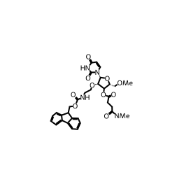 CNC(=O)CCC(=O)OC1[C@@H](COC)O[C@@H](n2ccc(=O)[nH]c2=O)[C@H]1OCCNC(=O)OCC1c2ccccc2-c2ccccc21